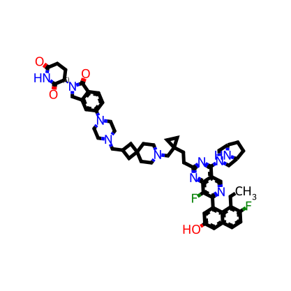 CCc1c(F)ccc2cc(O)cc(-c3ncc4c(N5CC6CCC(C5)N6)nc(CCC5(CN6CCC7(CC6)CC(CN6CCN(c8ccc9c(c8)CN([C@H]8CCC(=O)NC8=O)C9=O)CC6)C7)CC5)nc4c3F)c12